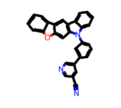 N#Cc1cncc(-c2cccc(-n3c4ccccc4c4cc5c(cc43)oc3ccccc35)c2)c1